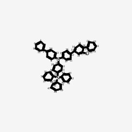 c1ccc(-c2ccc(N(c3ccc(-c4ccc5c(c4)oc4ccccc45)cc3)c3ccc([Si](c4ccccc4)(c4ccccc4)c4ccccc4)cc3)cc2)cc1